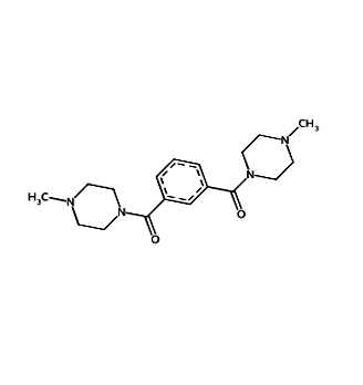 CN1CCN(C(=O)c2cccc(C(=O)N3CCN(C)CC3)c2)CC1